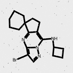 Brc1cnn2c(NC3CCC3)c3c(nc12)C1(CCCCC1)CC3